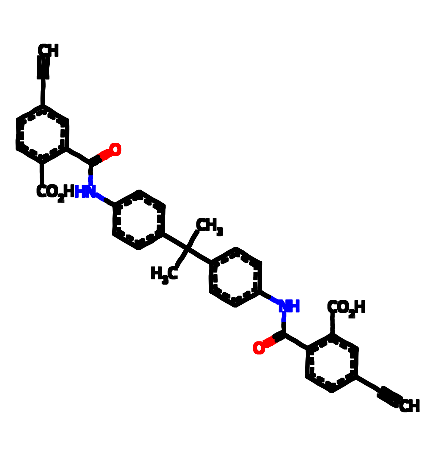 C#Cc1ccc(C(=O)Nc2ccc(C(C)(C)c3ccc(NC(=O)c4cc(C#C)ccc4C(=O)O)cc3)cc2)c(C(=O)O)c1